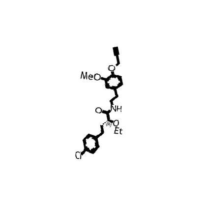 C#CCOc1ccc(CCNC(=O)[C@@H](CCc2ccc(Cl)cc2)OCC)cc1OC